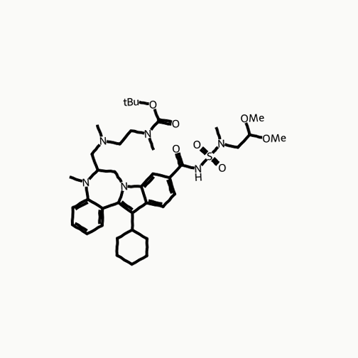 COC(CN(C)S(=O)(=O)NC(=O)c1ccc2c(C3CCCCC3)c3n(c2c1)CC(CN(C)CCN(C)C(=O)OC(C)(C)C)N(C)c1ccccc1-3)OC